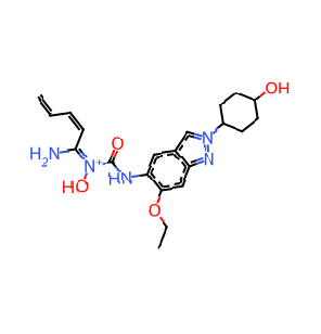 C=C/C=C\C(N)=[N+](\O)C(=O)Nc1cc2cn(C3CCC(O)CC3)nc2cc1OCC